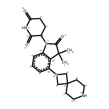 CC1(C)C(=O)N(C2CCC(=O)NC2=O)c2cccc(N3CC4(CCNCC4)C3)c21